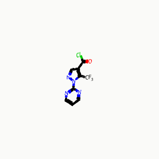 O=C(Cl)c1cnn(-c2ncccn2)c1C(F)(F)F